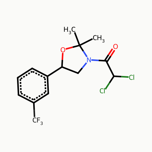 CC1(C)OC(c2cccc(C(F)(F)F)c2)CN1C(=O)C(Cl)Cl